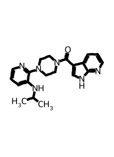 CC(C)Nc1cccnc1N1CCN(C(=O)c2c[nH]c3ncccc23)CC1